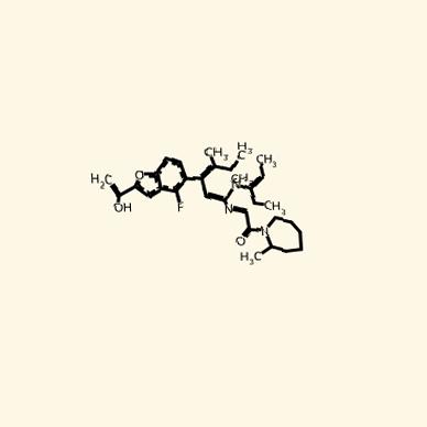 C=C(O)c1cc2c(F)c(C(/C=C(/N=C/C(=O)N3CCCCCC3C)N(C)/C(=C\C)CC)=C(\C)CC)ccc2o1